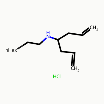 C=CCC(CC=C)NCCCCCCCC.Cl